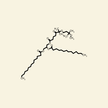 CCCCCCCCCCCCCC(=O)OCC(COC(=O)CCCC(=O)C(C)(C)OCCC(C)(C)OC)OC(=O)CCCCCCCCCCCCC